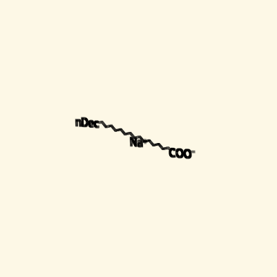 CCCCCCCCCCCCCCCCCCCCCCCCCC(=O)[O-].[Na+]